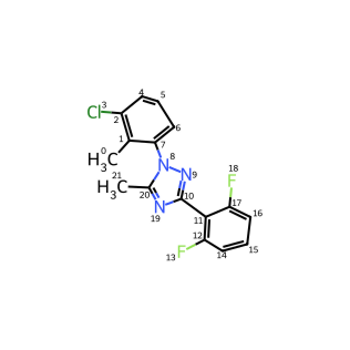 Cc1c(Cl)cccc1-n1nc(-c2c(F)cccc2F)nc1C